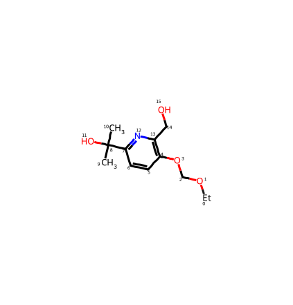 CCOCOc1ccc(C(C)(C)O)nc1CO